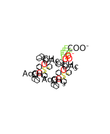 CC(=O)OC(Oc1ccccc1[S+](c1ccccc1)c1ccccc1OC(OC(C)=O)C12CC3CC(CC(C3)C1C)C2)C12CC3CC(CC(C3)C1C)C2.CC(=O)OC(Oc1ccccc1[S+](c1ccccc1)c1ccccc1OC(OC(C)=O)C12CC3CC(CC(C3)C1C)C2)C12CC3CC(CC(C3)C1C)C2.O=C([O-])C(F)(F)C(F)(F)C(F)(F)S(=O)(=O)[O-]